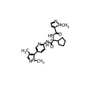 Cc1cnn(C)c1-c1ccc(NC(=O)[C@@H](NC(=O)c2ccnn2C)C2CCCC2)nc1